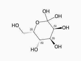 OC[C@@H]1OC(O)(O)[C@@H](O)[C@@H](O)[C@@H]1O